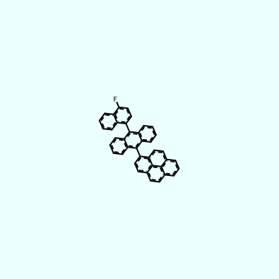 Fc1ccc(-c2c3ccccc3c(-c3ccc4ccc5cccc6ccc3c4c56)c3ccccc23)c2ccccc12